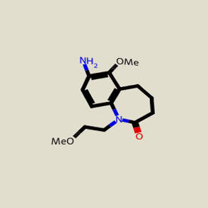 COCCN1C(=O)CCCc2c1ccc(N)c2OC